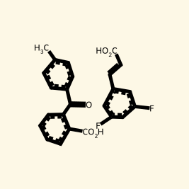 Cc1ccc(C(=O)c2ccccc2C(=O)O)cc1.O=C(O)/C=C/c1cc(F)cc(F)c1